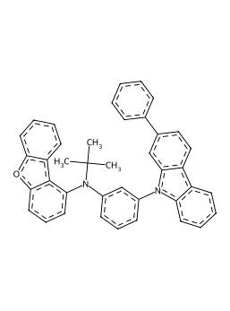 CC(C)(C)N(c1cccc(-n2c3ccccc3c3ccc(-c4ccccc4)cc32)c1)c1cccc2oc3ccccc3c12